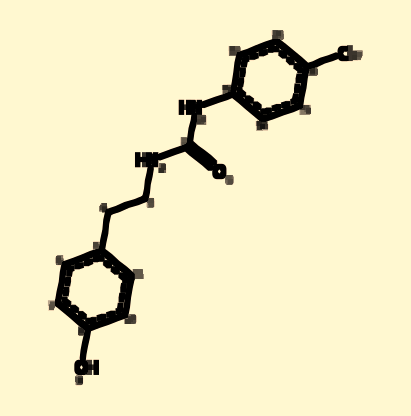 O=C(NCCc1ccc(O)cc1)Nc1ccc(Cl)cc1